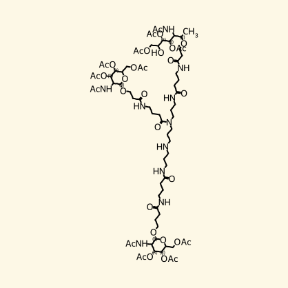 CC(=O)NC1[C@H](OCCCC(=O)NCCCC(=O)NCCCNCCCN(CCCNC(=O)CCCNC(=O)CCO[C@H](C)C(NC(C)=O)[C@@H](OC(C)=O)[C@@H](OC(C)=O)C(O)COC(C)=O)C(=O)CCCNC(=O)CCO[C@@H]2OC(COC(C)=O)[C@H](OC(C)=O)[C@H](OC(C)=O)C2NC(C)=O)OC(COC(C)=O)[C@H](OC(C)=O)[C@@H]1OC(C)=O